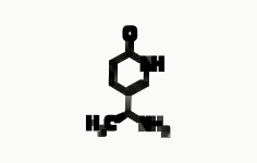 C[C@H](N)c1ccc(=O)[nH]c1